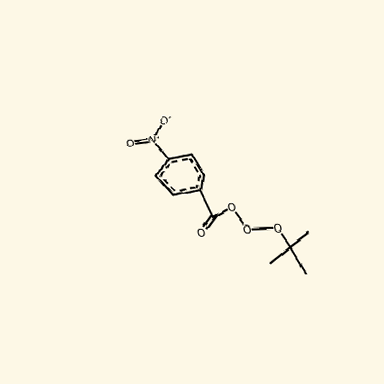 CC(C)(C)OOOC(=O)c1ccc([N+](=O)[O-])cc1